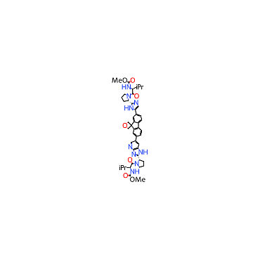 COC(=O)N[C@H](C(=O)N1CCC[C@H]1c1ncc(-c2ccc3c(c2)C2(COC2)c2cc(-c4cnc5nc([C@@H]6CCCN6C(=O)[C@@H](NC(=O)OC)C(C)C)[nH]c5c4)ccc2-3)[nH]1)C(C)C